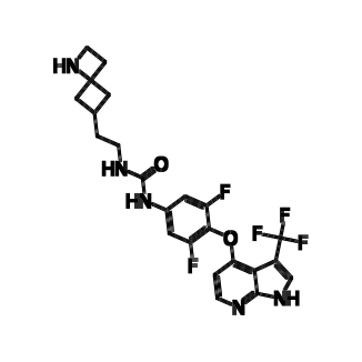 O=C(NCCC1CC2(CCN2)C1)Nc1cc(F)c(Oc2ccnc3[nH]cc(C(F)(F)F)c23)c(F)c1